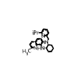 Cc1ccc2cccc(N[C@H]3CCCC[C@@H]3NCc3cccc(C(C)C)n3)c2n1